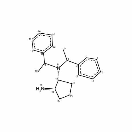 CC(c1ccccc1)N(C(C)c1ccccc1)[C@@H]1CCC[C@H]1N